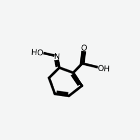 O=C(O)C1=CC=CCC1=NO